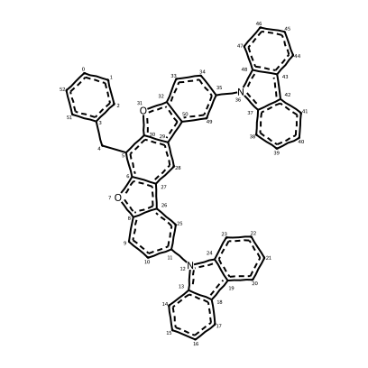 c1ccc(Cc2c3oc4ccc(-n5c6ccccc6c6ccccc65)cc4c3cc3c2oc2ccc(-n4c5ccccc5c5ccccc54)cc23)cc1